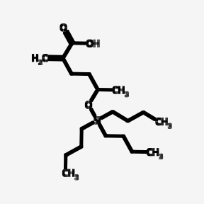 C=C(CCC(C)O[Si](CCCC)(CCCC)CCCC)C(=O)O